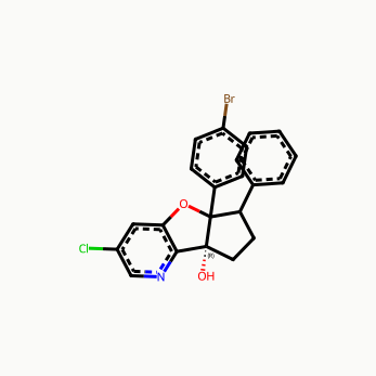 O[C@@]12CCC(c3ccccc3)C1(c1ccc(Br)cc1)Oc1cc(Cl)cnc12